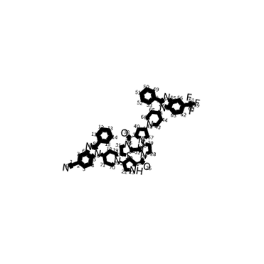 N#Cc1ccc2c(c1)nc(-c1ccccc1)n2C1CCN([C@@H]2CN[C@H](C(=O)N3CCSC3C3SCCN3C(=O)[C@@H]3C[C@H](N4CCC(n5c(-c6ccccc6)nc6cc(C(F)(F)F)ccc65)CC4)CN3)C2)CC1